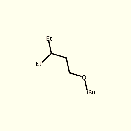 CCC(CC)CCOC(C)CC